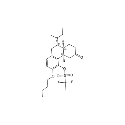 CCCCOc1ccc2c(c1OS(=O)(=O)C(F)(F)F)[C@@]1(C)CC(=O)CC[C@H]1[C@H](N(C)CC)C2